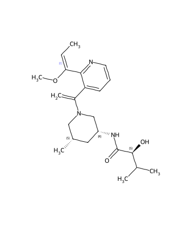 C=C(c1cccnc1/C(=C\C)OC)N1C[C@@H](C)C[C@@H](NC(=O)[C@@H](O)C(C)C)C1